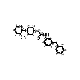 N#Cc1cccnc1N1CCN(CC(=O)Nc2cccc(Cc3ccccc3)c2)CC1